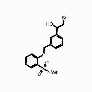 CNS(=O)(=O)c1ccccc1OCc1cccc(C(O)CBr)c1